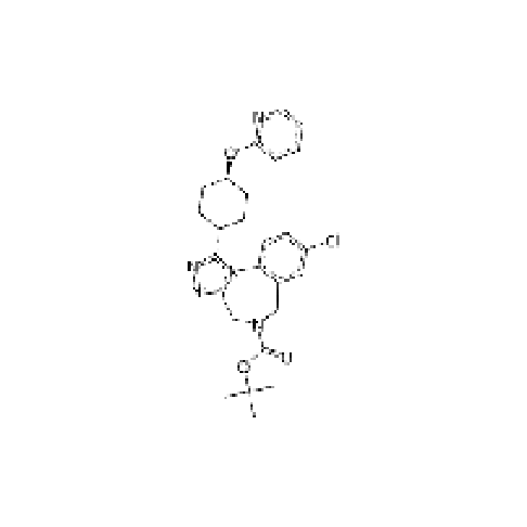 CC(C)(C)OC(=O)N1Cc2cc(Cl)ccc2-n2c(nnc2[C@H]2CC[C@H](Oc3ccccn3)CC2)C1